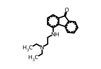 CCN(CC)CCNc1cccc2c1-c1ccccc1C2=O